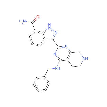 NC(=O)c1cccc2c(-c3nc4c(c(NCc5ccccc5)n3)CCNC4)n[nH]c12